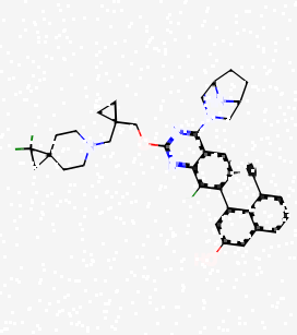 C#Cc1cccc2cc(O)cc(-c3c(C#N)cc4c(N5CC6CCC(C5)N6)nc(OCC5(CN6CCC7(CC6)CC7(F)F)CC5)nc4c3F)c12